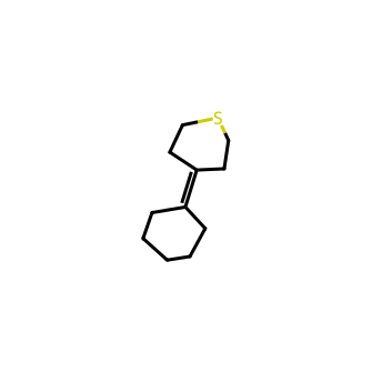 C1CCC(=C2CCSCC2)CC1